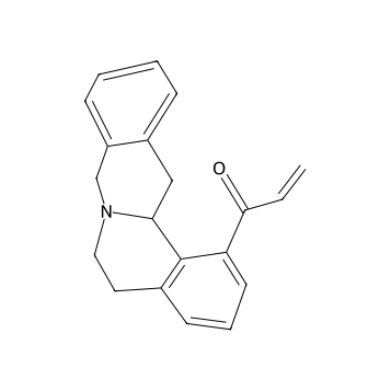 C=CC(=O)c1cccc2c1C1Cc3ccccc3CN1CC2